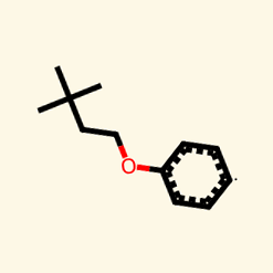 CC(C)(C)CCOc1cc[c]cc1